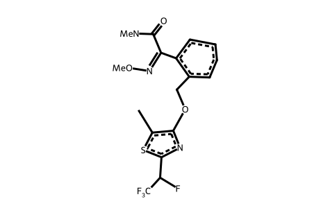 CNC(=O)C(=NOC)c1ccccc1COc1nc(C(F)C(F)(F)F)sc1C